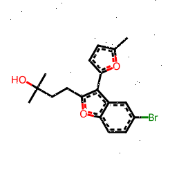 Cc1ccc(-c2c(CCC(C)(C)O)oc3ccc(Br)cc23)o1